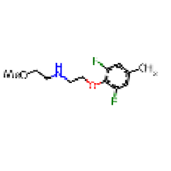 COCCNCCOc1c(F)cc(C)cc1F